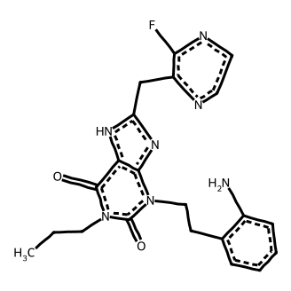 CCCn1c(=O)c2[nH]c(Cc3nccnc3F)nc2n(CCc2ccccc2N)c1=O